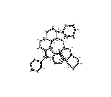 c1ccc(-n2c3ccccc3c3c4c(ccc5c6ccccc6n(-c6ccc7ccccc7c6)c54)ccc32)cc1